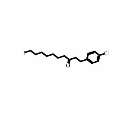 O=C(CCCCCCCI)CCc1ccc(Cl)cc1